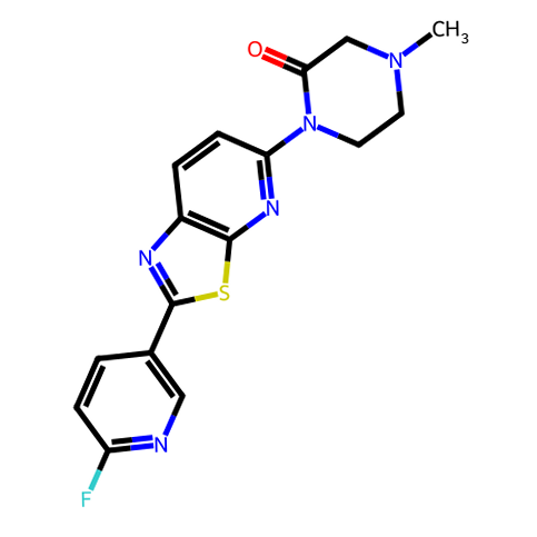 CN1CCN(c2ccc3nc(-c4ccc(F)nc4)sc3n2)C(=O)C1